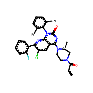 C=CC(=O)N1CCN(c2nc(=O)n(-c3c(C#N)cccc3C(C)C)c3nc(-c4ccccc4F)c(Cl)cc23)[C@@H](C)C1